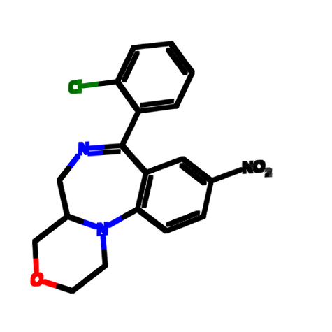 O=[N+]([O-])c1ccc2c(c1)C(c1ccccc1Cl)=NCC1COCCN21